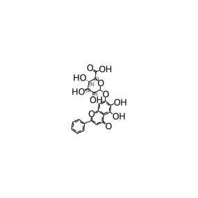 O=C(O)[C@H]1OC(Oc2cc3oc(-c4ccccc4)cc(=O)c3c(O)c2O)[C@H](O)[C@@H](O)[C@@H]1O